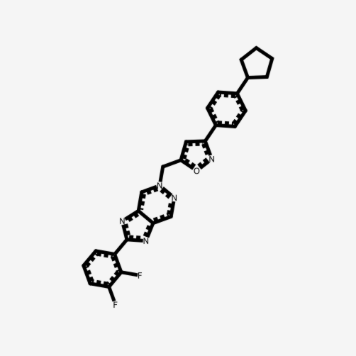 Fc1cccc(-c2nc3cnn(Cc4cc(-c5ccc(C6CCCC6)cc5)no4)cc-3n2)c1F